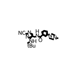 CN1CCN(c2cccc(C(=O)NCc3cnc(C#N)nc3NCC(C)(C)C)c2)CC1